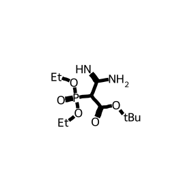 CCOP(=O)(OCC)C(C(=N)N)C(=O)OC(C)(C)C